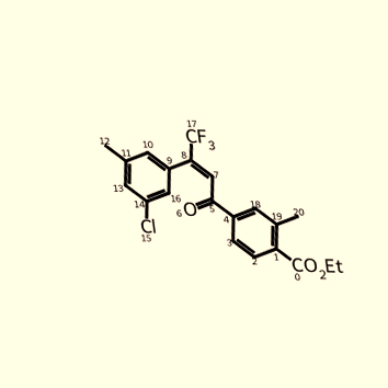 CCOC(=O)c1ccc(C(=O)/C=C(\c2cc(C)cc(Cl)c2)C(F)(F)F)cc1C